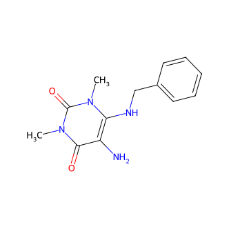 Cn1c(NCc2ccccc2)c(N)c(=O)n(C)c1=O